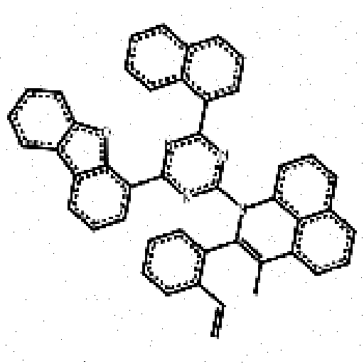 C=Cc1ccccc1C1=C(C)c2cccc3cccc(c23)N1c1nc(-c2cccc3ccccc23)nc(-c2cccc3c2oc2ccccc23)n1